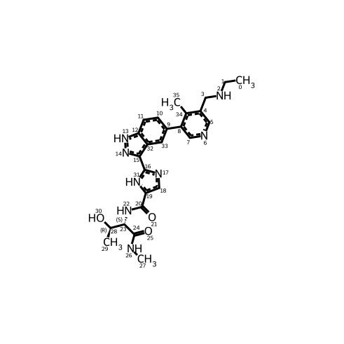 CCNCc1cncc(-c2ccc3[nH]nc(-c4ncc(C(=O)N[C@H](C(=O)NC)[C@@H](C)O)[nH]4)c3c2)c1C